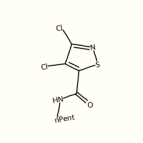 CCCCCNC(=O)c1snc(Cl)c1Cl